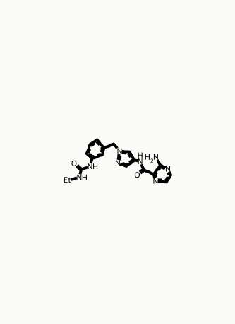 CCNC(=O)Nc1cccc(Cn2cc(NC(=O)c3nccnc3N)cn2)c1